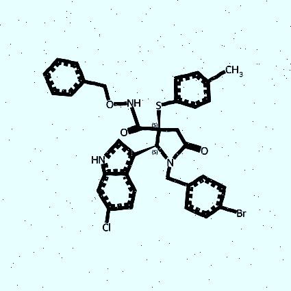 Cc1ccc(S[C@@]2(C(=O)NOCc3ccccc3)CC(=O)N(Cc3ccc(Br)cc3)[C@H]2c2c[nH]c3cc(Cl)ccc23)cc1